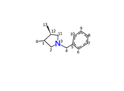 CC1CN(Cc2ccccc2)C[C@@H]1C